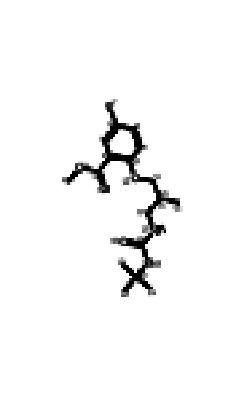 COC(=O)c1cc(F)ccc1OC[C@@H](C)CNC(=O)OC(C)(C)C